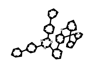 c1ccc(-c2ccc(-c3nc(-c4ccc(-c5ccccc5)cc4)nc(-c4ccccc4-c4ccc5c(c4)C4(c6ccccc6S5)c5ccccc5-c5ccccc54)n3)cc2)cc1